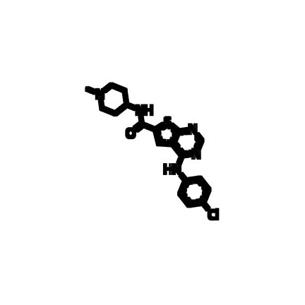 CN1CCC(NC(=O)c2cc3c(Nc4ccc(Cl)cc4)ncnc3s2)CC1